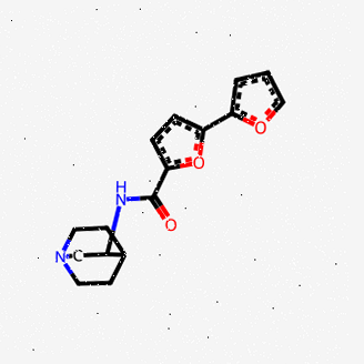 O=C(NC1CN2CCC1CC2)c1ccc(-c2ccco2)o1